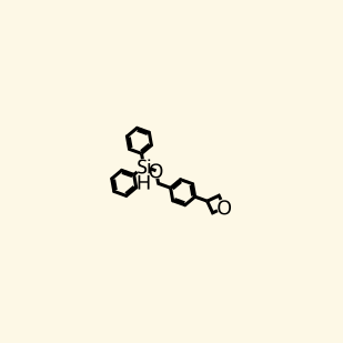 c1ccc([SiH](OCc2ccc(C3COC3)cc2)c2ccccc2)cc1